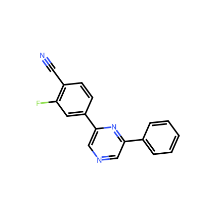 N#Cc1ccc(-c2cncc(-c3ccccc3)n2)cc1F